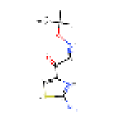 CC(C)(O/N=C\C(=O)c1csc(N)n1)C(=O)O